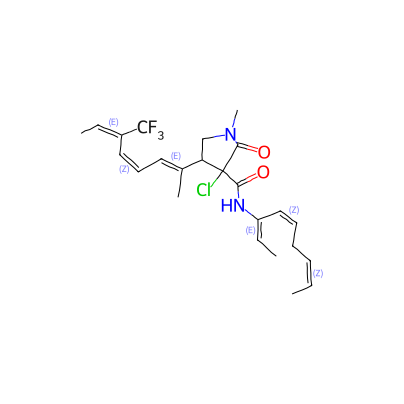 C/C=C\C/C=C\C(=C/C)NC(=O)C1(Cl)C(=O)N(C)CC1/C(C)=C/C=C\C(=C/C)C(F)(F)F